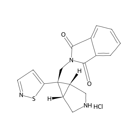 Cl.O=C1c2ccccc2C(=O)N1C[C@@]1(c2ccns2)[C@@H]2CNC[C@@H]21